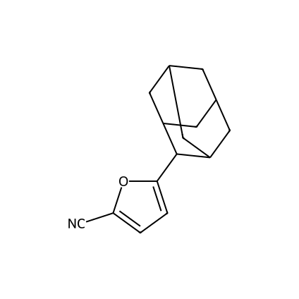 N#Cc1ccc(C2C3CC4CC(C3)CC2C4)o1